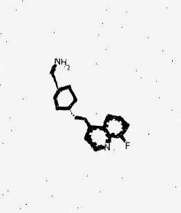 NC[C@H]1CC[C@H](CCc2ccnc3c(F)cccc23)CC1